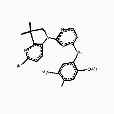 COc1cc(F)c([N+](=O)[O-])cc1Nc1ncnc(N2CC(C)(C)c3nc(Br)ccc32)n1